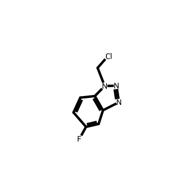 Fc1ccc2c(c1)nnn2CCl